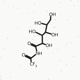 O=C(NC(=O)C(F)(F)F)C(O)C(O)C(O)C(O)CO